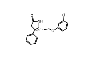 O=C1C[C@H](c2ccccc2)[C@@H](CCOc2cccc(Cl)c2)N1